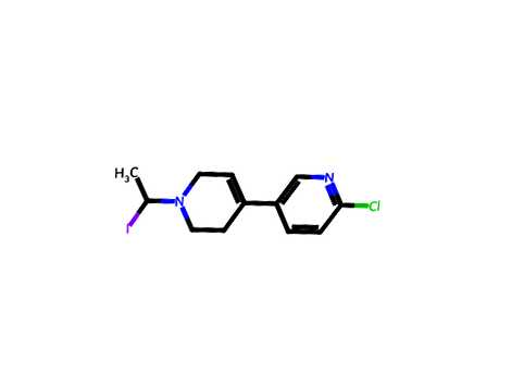 CC(I)N1CC=C(c2ccc(Cl)nc2)CC1